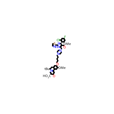 COC(=O)C1=C(CN2CCN(CCCCCOc3cc4c(cc3OC)-c3cc(=O)c(C(=O)O)cn3C(C(C)(C)C)C4)CC2)NC(c2nccs2)=N[C@H]1c1ccc(F)cc1Cl